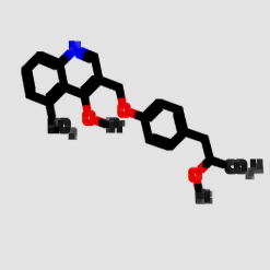 CCOC(Cc1ccc(OCc2cnc3cccc([N+](=O)[O-])c3c2OC(C)C)cc1)C(=O)O